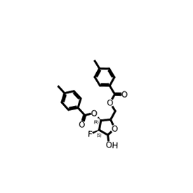 Cc1ccc(C(=O)OCC2OC(O)[C@@H](F)[C@@H]2OC(=O)c2ccc(C)cc2)cc1